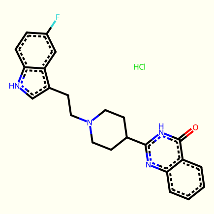 Cl.O=c1[nH]c(C2CCN(CCc3c[nH]c4ccc(F)cc34)CC2)nc2ccccc12